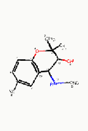 CC1(C)Oc2ccc(C#N)cc2C(NC=O)C1O